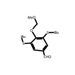 CCC(C)Sc1cc(C=O)cc(SC(C)CC)c1OCOC